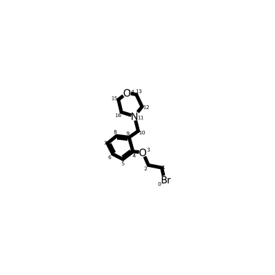 BrCCOc1ccccc1CN1CCOCC1